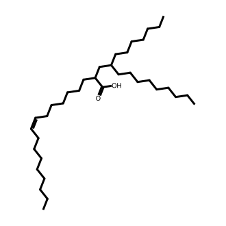 CCCCCCCC/C=C\CCCCCCC(CC(CCCCCCC)CCCCCCCCC)C(=O)O